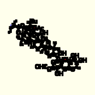 C/C=C(/C)C(=O)O[C@H]1[C@H](OC(=O)C(C)CC)[C@]2(CO)[C@H](OC(C)=O)[C@H](O)[C@]3(C)C(=CCC4[C@@]5(C)CCC(OC6OC(OC=O)C(O)C(OC7OCC(O)C(O)C7O)C6O)[C@@](C)(CO)C5CC[C@]43C)[C@@H]2CC1(C)C